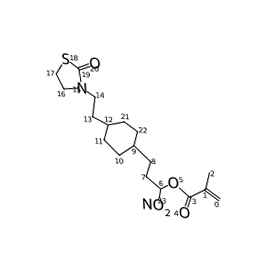 C=C(C)C(=O)OC(CCC1CCC(CCN2CCSC2=O)CC1)[N+](=O)[O-]